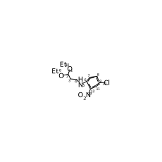 CCOC(CCNc1ccc(Cl)cc1[N+](=O)[O-])OCC